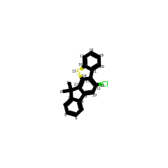 CC1(C)c2ccccc2-c2cc(Cl)c3c(sc4ccccc43)c21